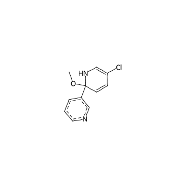 COC1(c2cccnc2)C=CC(Cl)=CN1